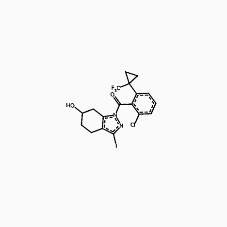 O=C(c1c(Cl)cccc1C1(C(F)(F)F)CC1)n1nc(I)c2c1CC(O)CC2